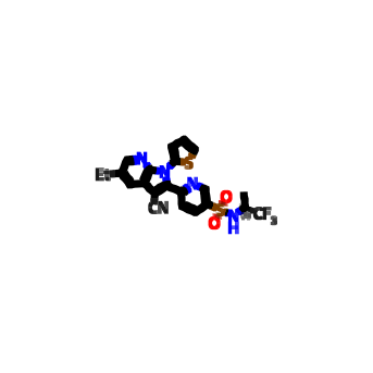 CCc1cnc2c(c1)c(C#N)c(-c1ccc(S(=O)(=O)N[C@@H](C)C(F)(F)F)cn1)n2-c1cccs1